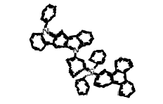 c1ccc(-n2c3ccccc3c3cc4c(cc32)c2ccccc2n4-c2cccc([Si](c3ccccc3)(c3ccccc3)c3ccc4c5ccccc5c5ccccc5c4c3)c2)cc1